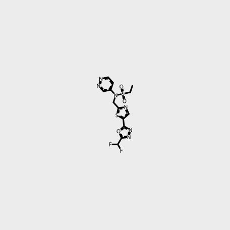 CCS(=O)(=O)N(Cc1ncc(-c2nnc(C(F)F)o2)s1)c1ccnnc1